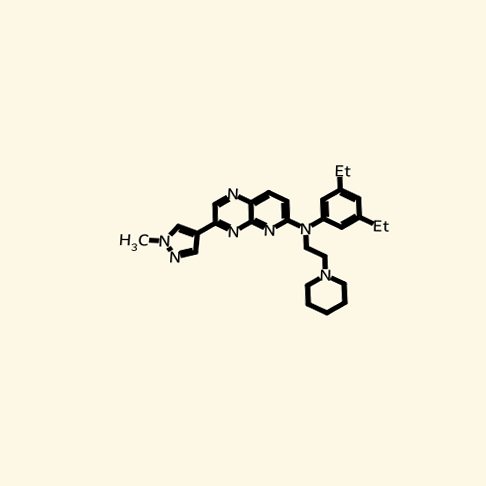 CCc1cc(CC)cc(N(CCN2CCCCC2)c2ccc3ncc(-c4cnn(C)c4)nc3n2)c1